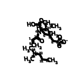 C=CC(=O)NC(CCCS(=O)(=O)[O-])(C(=O)O)[N+](C)(C)C.CCCN(C)C